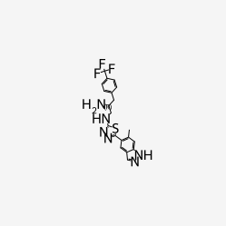 Cc1cc2[nH]ncc2cc1-c1nnc(NC[C@H](N)Cc2ccc(C(F)(F)F)cc2)s1